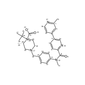 Cc1cc(-c2ccc(C(=O)N(C)c3ccc(CN4CC[N+](C(=O)[O-])(C(C)(C)C)[C@@H](C)C4)cc3)nc2)ccn1